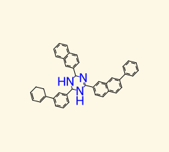 C1=CCCC(c2cccc(C3NC(c4ccc5ccc(-c6ccccc6)cc5c4)=NC(c4ccc5ccccc5c4)N3)c2)=C1